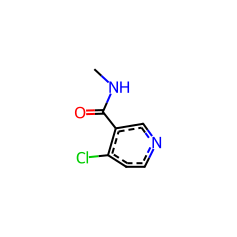 CNC(=O)c1cnccc1Cl